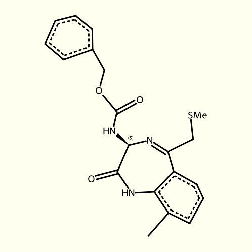 CSCC1=N[C@H](NC(=O)OCc2ccccc2)C(=O)Nc2c(C)cccc21